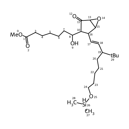 COC(=O)CCCCCC(O)C1C(=O)C2OC2C1C=CC(CCCCCO[SiH](C)C)C(C)(C)C